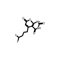 O=c1[nH]c(=O)c2c(CCCC(F)F)cc(=O)oc2[nH]1